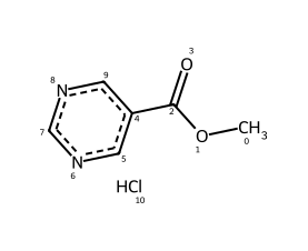 COC(=O)c1cncnc1.Cl